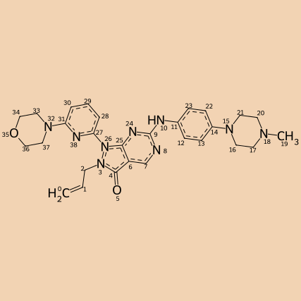 C=CCn1c(=O)c2cnc(Nc3ccc(N4CCN(C)CC4)cc3)nc2n1-c1cccc(N2CCOCC2)n1